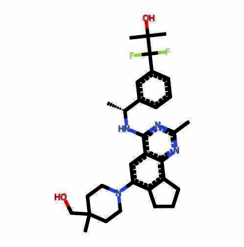 Cc1nc(N[C@H](C)c2cccc(C(F)(F)C(C)(C)O)c2)c2cc(N3CCC(C)(CO)CC3)c3c(c2n1)CCC3